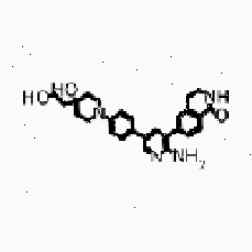 Nc1ncc(-c2ccc(N3CCC(O)(CCO)CC3)cc2)cc1-c1ccc2c(c1)CCNC2=O